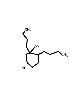 CCCCC1CCCC[C]1([Sn])CCCC.F